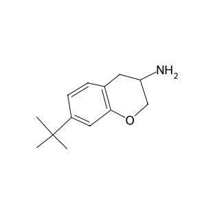 CC(C)(C)c1ccc2c(c1)OCC(N)C2